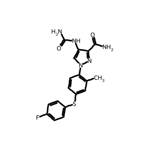 Cc1cc(Sc2ccc(F)cc2)ccc1-n1cc(NC(N)=O)c(C(N)=O)n1